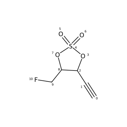 C#CC1OS(=O)(=O)OC1CF